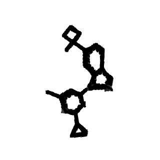 Cc1cc(-n2ncc3ccc(C4(C)CCC4)cc32)nc(C2CC2)n1